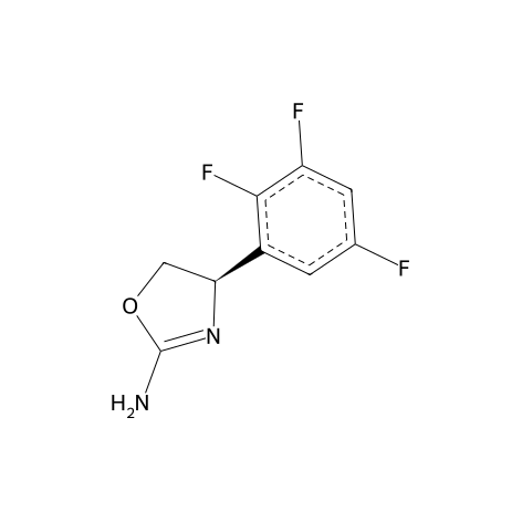 NC1=N[C@H](c2cc(F)cc(F)c2F)CO1